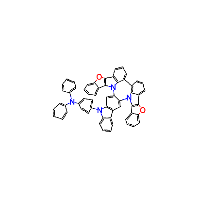 c1ccc(N(c2ccccc2)c2ccc(-n3c4ccccc4c4cc5c(cc43)n3c4c(cccc4c4oc6ccccc6c43)c3cccc4c6oc7ccccc7c6n5c34)cc2)cc1